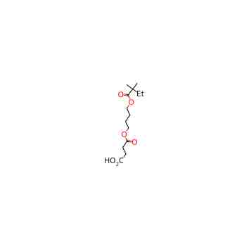 CCC(C)(C)C(=O)OCCCCOC(=O)CCC(=O)O